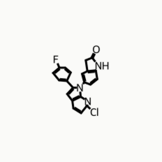 O=C1Cc2cc(-n3c(-c4ccc(F)cc4)cc4ccc(Cl)nc43)ccc2N1